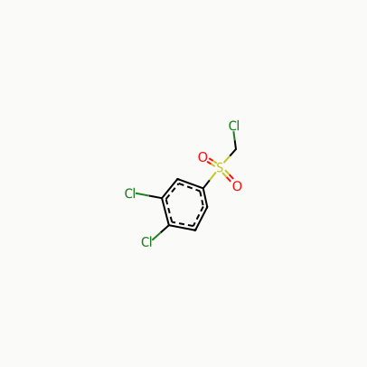 O=S(=O)(CCl)c1ccc(Cl)c(Cl)c1